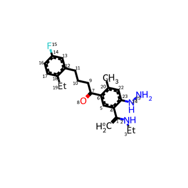 C=C(NCC)c1cc(C(=O)CCCc2cc(F)ccc2CC)c(C)cc1NN